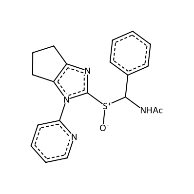 CC(=O)NC(c1ccccc1)[S+]([O-])c1nc2c(n1-c1ccccn1)CCC2